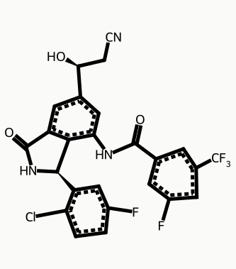 N#CC[C@H](O)c1cc(NC(=O)c2cc(F)cc(C(F)(F)F)c2)c2c(c1)C(=O)N[C@@H]2c1cc(F)ccc1Cl